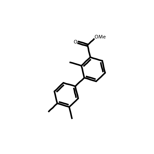 COC(=O)c1cccc(-c2ccc(C)c(C)c2)c1C